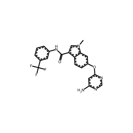 Cn1cc(C(=O)Nc2cccc(C(F)(F)F)c2)c2ccc(Oc3cc(N)ncn3)cc21